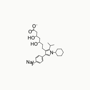 CC(C)c1c(CCC(O)CC(O)CC(=O)[O-])c(-c2ccc(F)cc2)cn1C1CCCCC1.[Na+]